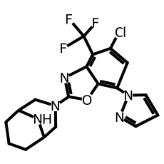 FC(F)(F)c1c(Cl)cc(-n2cccn2)c2oc(N3CC4CCCC(C3)N4)nc12